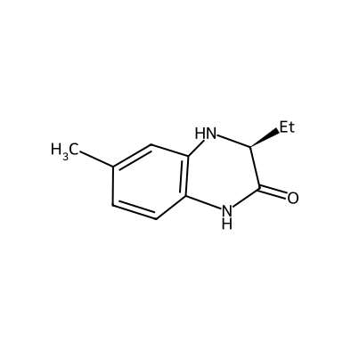 CC[C@@H]1Nc2cc(C)ccc2NC1=O